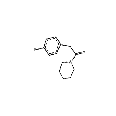 C=C(Cc1ccc(F)cc1)N1CCCCC1